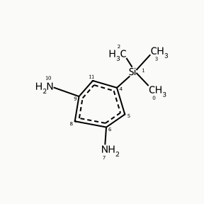 C[Si](C)(C)c1cc(N)cc(N)c1